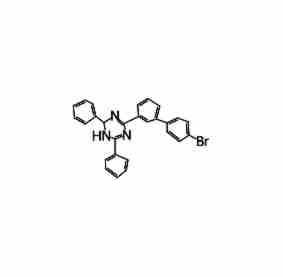 Brc1ccc(-c2cccc(C3=NC(c4ccccc4)NC(c4ccccc4)=N3)c2)cc1